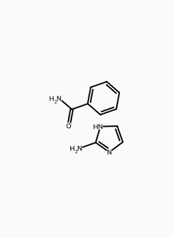 NC(=O)c1ccccc1.Nc1ncc[nH]1